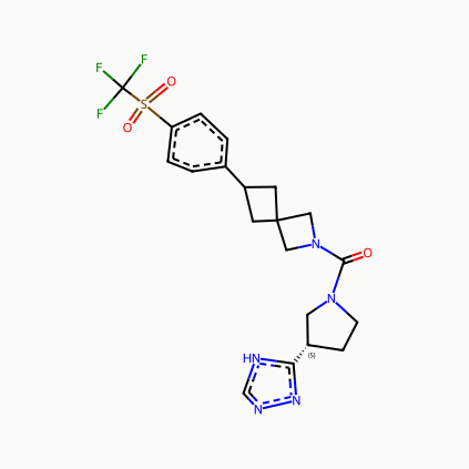 O=C(N1CC[C@H](c2nnc[nH]2)C1)N1CC2(CC(c3ccc(S(=O)(=O)C(F)(F)F)cc3)C2)C1